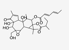 C/C=C/C=C/C(=O)OC1C(C)C2(O)C(C3OC3(CO)C(O)C3(O)C(=O)C(C)=CC32)C2C(C)(C)C12OC(=O)C(C)CC